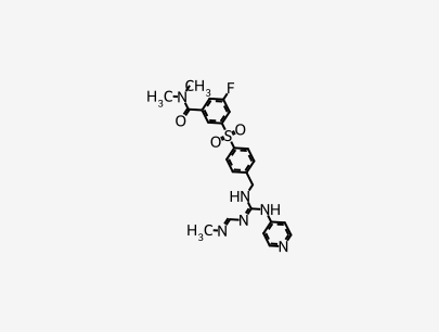 CN=C/N=C(\NCc1ccc(S(=O)(=O)c2cc(F)cc(C(=O)N(C)C)c2)cc1)Nc1ccncc1